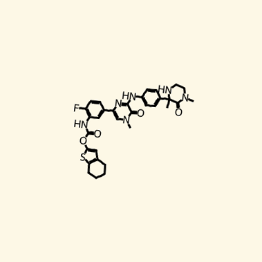 CN1CCNC(C)(c2ccc(Nc3nc(-c4ccc(F)c(NC(=O)Oc5cc6c(s5)CCCC6)c4)cn(C)c3=O)cc2)C1=O